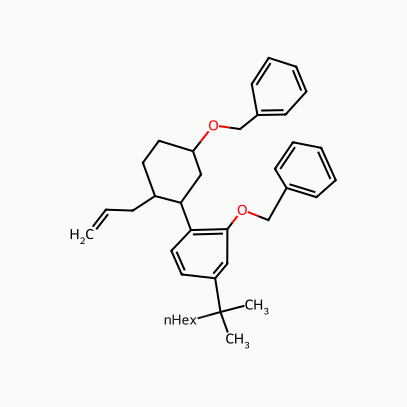 C=CCC1CCC(OCc2ccccc2)CC1c1ccc(C(C)(C)CCCCCC)cc1OCc1ccccc1